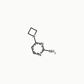 Nc1nccc(N2CCC2)n1